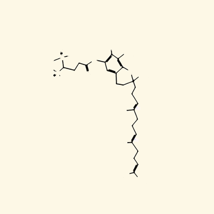 CC(C)=CCC/C(C)=C/CC/C(C)=C/CCC1(C)CCc2cc(OC(=O)CCC(P(=O)(O)O)P(=O)(O)O)c(C)c(C)c2O1